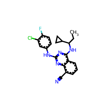 CCC(Nc1nc(Nc2ccc(F)c(Cl)c2)nc2c(C#N)cccc12)C1CC1